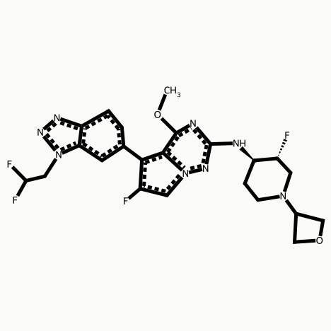 COc1nc(N[C@@H]2CCN(C3COC3)C[C@H]2F)nn2cc(F)c(-c3ccc4nnn(CC(F)F)c4c3)c12